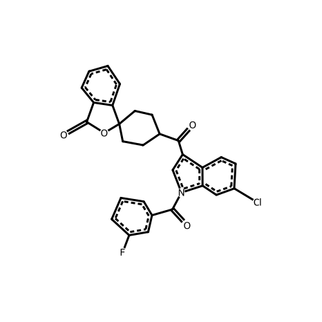 O=C1OC2(CCC(C(=O)c3cn(C(=O)c4cccc(F)c4)c4cc(Cl)ccc34)CC2)c2ccccc21